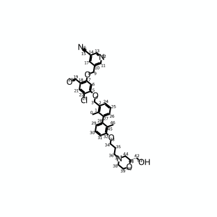 Cc1c(COc2cc(OCc3cncc(C#N)c3)c(C=O)cc2Cl)cccc1-c1cccc(OCCCN2CCO[C@@H](CO)C2)c1C